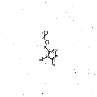 Cc1csc(COC=O)c1I